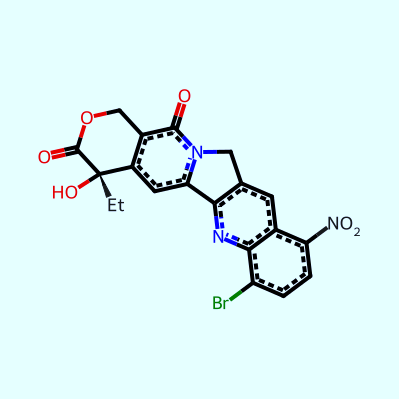 CC[C@@]1(O)C(=O)OCc2c1cc1n(c2=O)Cc2cc3c([N+](=O)[O-])ccc(Br)c3nc2-1